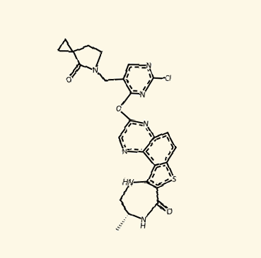 C[C@@H]1CNc2c(sc3ccc4nc(Oc5nc(Cl)ncc5CN5CCC6(CC6)C5=O)cnc4c23)C(=O)N1